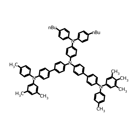 CCCCc1ccc(N(c2ccc(CCCC)cc2)c2ccc(N(c3ccc(-c4ccc(N(c5ccc(C)cc5)c5cc(C)cc(C)c5)cc4)cc3)c3ccc(-c4ccc(N(c5ccc(C)cc5)c5cc(C)c(C)c(C)c5)cc4)cc3)cc2)cc1